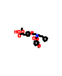 CCOC(Cc1ccc(OCCN(CCCC2CCCCC2)C(=O)Oc2cccc(OC)c2)cc1)C(=O)O